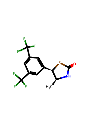 C[C@@H]1NC(=O)S[C@@H]1c1cc(C(F)(F)F)cc(C(F)(F)F)c1